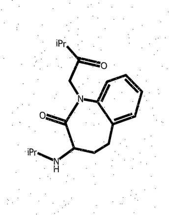 CC(C)NC1CCc2ccccc2N(CC(=O)C(C)C)C1=O